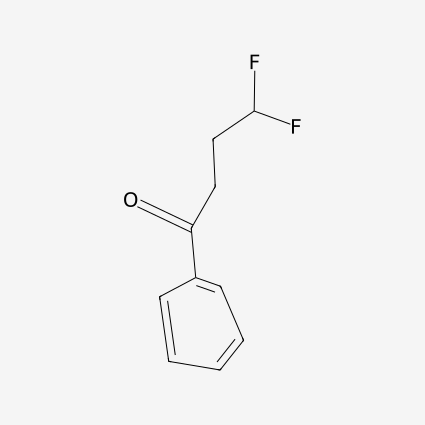 O=C(CCC(F)F)c1ccccc1